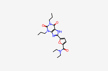 CCCn1c(=O)c2[nH]c(-c3ccc(C(=O)N(CC)CC)o3)nc2n(CCC)c1=O